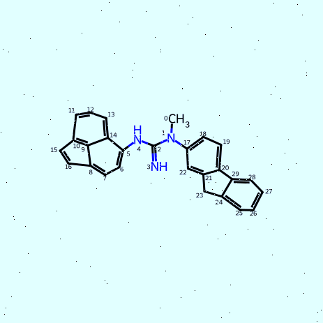 CN(C(=N)Nc1ccc2c3c(cccc13)C=C2)c1ccc2c(c1)Cc1ccccc1-2